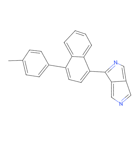 Cc1ccc(-c2ccc(C3=NC=C4C=NC=C43)c3ccccc23)cc1